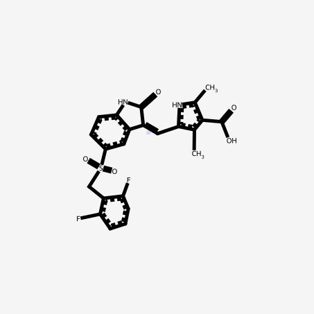 Cc1[nH]c(/C=C2\C(=O)Nc3ccc(S(=O)(=O)Cc4c(F)cccc4F)cc32)c(C)c1C(=O)O